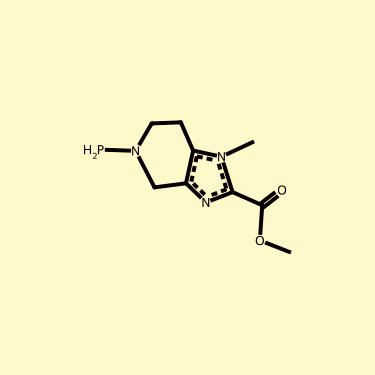 COC(=O)c1nc2c(n1C)CCN(P)C2